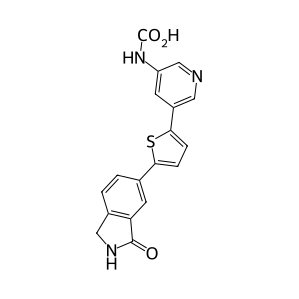 O=C(O)Nc1cncc(-c2ccc(-c3ccc4c(c3)C(=O)NC4)s2)c1